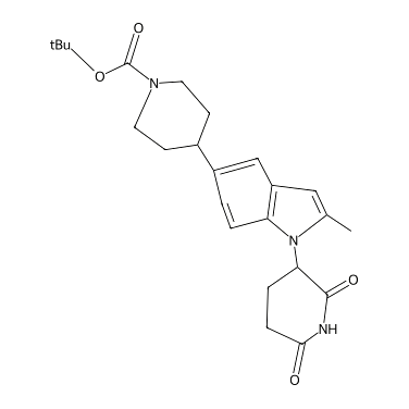 Cc1cc2cc(C3CCN(C(=O)OC(C)(C)C)CC3)ccc2n1C1CCC(=O)NC1=O